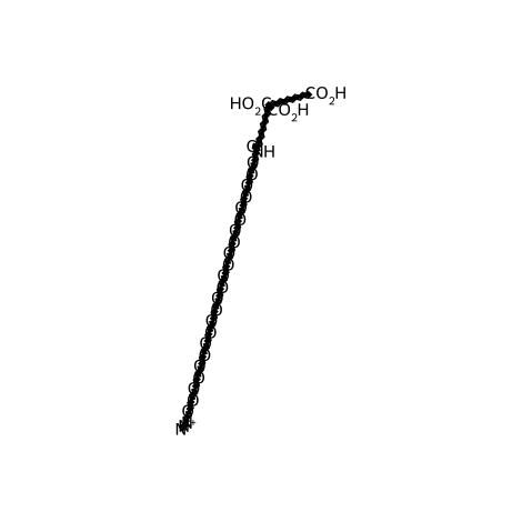 [N-]=[N+]=NCCOCCOCCOCCOCCOCCOCCOCCOCCOCCOCCOCCOCCOCCOCCOCCOCCOCCOCCOCCOCCOCCOCCOCCNC(=O)CCCCCCCCCCC(CCCCCCCCCCC(=O)O)(C(=O)O)C(=O)O